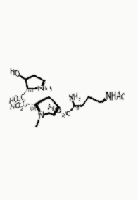 CC(=O)NCCC[C@H](N)C(=O)O.CN1CCC[C@H]1C(=O)O.O=C(O)[C@H]1NCCC1O